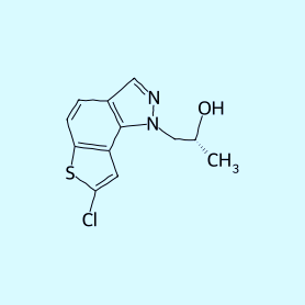 C[C@@H](O)Cn1ncc2ccc3sc(Cl)cc3c21